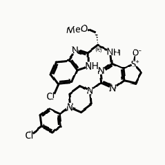 COC[C@H](Nc1nc(N2CCN(c3ccc(Cl)cc3)CC2)nc2c1[S+]([O-])CC2)c1nc2ccc(Cl)cc2[nH]1